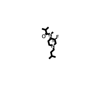 CC(C)CCN1CC[C@@H](N(C)C(=O)C(C)C)[C@@H](F)C1